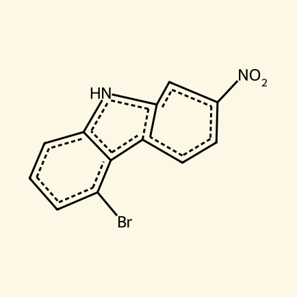 O=[N+]([O-])c1ccc2c(c1)[nH]c1cccc(Br)c12